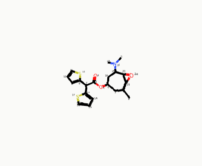 CC1CC(OC(=O)C(c2cccs2)c2cccs2)CC(N(C)C)C2OC12